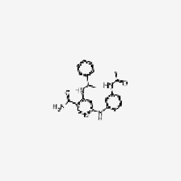 CC(=O)Nc1cccc(Nc2cc(NC(C)c3ccccc3)c(C(N)=O)cn2)c1